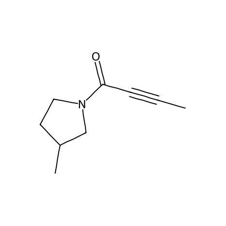 CC#CC(=O)N1CCC(C)C1